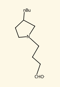 CCCCC1CCN(CCC[C]=O)C1